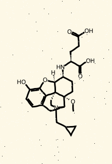 CO[C@@]12CC[C@H](N[C@@H](CCC(=O)O)C(=O)O)[C@@H]3Oc4c(O)ccc5c4[C@@]31CCN(CC1CC1)C2C5